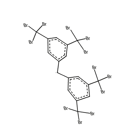 BrC(Br)(Br)c1cc([CH]c2cc(C(Br)(Br)Br)cc(C(Br)(Br)Br)c2)cc(C(Br)(Br)Br)c1